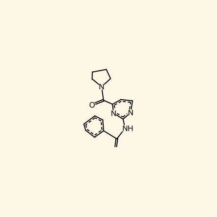 C=C(Nc1nccc(C(=O)N2CCCC2)n1)c1ccccc1